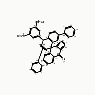 CCCCCCc1cc(CCCCCC)cc(N2c3ccc(-c4ccccc4)cc3C3(c4ccccc4C(=O)c4ccccc43)c3cc(-c4ccccc4)ccc32)c1